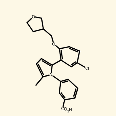 Cc1ccc(-c2cc(Cl)ccc2OCC2CCOC2)n1-c1cccc(C(=O)O)c1